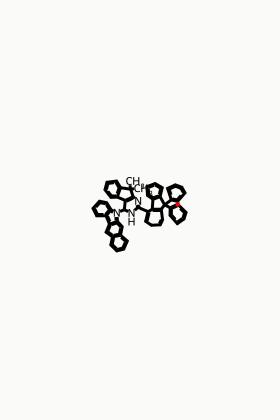 CC1(C)C2=C(c3ccccc31)C(n1c3ccccc3c3cc4ccccc4cc31)NC(C1=CCC=CC3=C1c1ccccc1C3(c1ccccc1)c1ccccc1)=N2